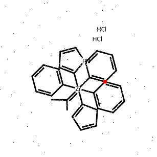 C[C](C)=[Zr]([C]1=CC=CC1)([c]1ccccc1)([c]1ccccc1)([c]1ccccc1)[c]1ccc[pH]1.Cl.Cl